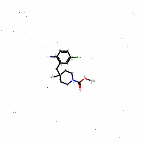 CC(C)(C)OC(=O)N1CCC(C#N)(Cc2cc(F)ccc2I)CC1